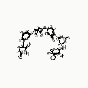 CN1C[C@H](Nc2cnn(C)c(=O)c2Br)C[C@H](c2ccc(CN3CC4(C3)CN(c3cccc(C5CCC(=O)NC5=O)c3)C4)cc2)C1